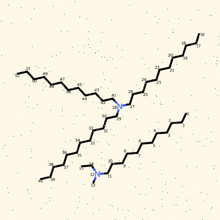 CCCCCCCCCCCCN(C)CC.CCCCCCCCCCCCN(CCCCCCCCCCCC)CCCCCCCCCCCC